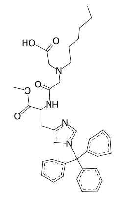 CCCCCCN(CC(=O)O)CC(=O)NC(Cc1cn(C(c2ccccc2)(c2ccccc2)c2ccccc2)cn1)C(=O)OC